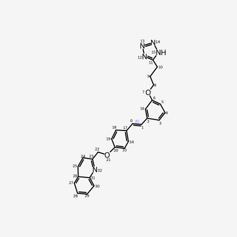 C(=C\c1cccc(OCCCc2nnn[nH]2)c1)/c1ccc(OCc2ccc3ccccc3n2)cc1